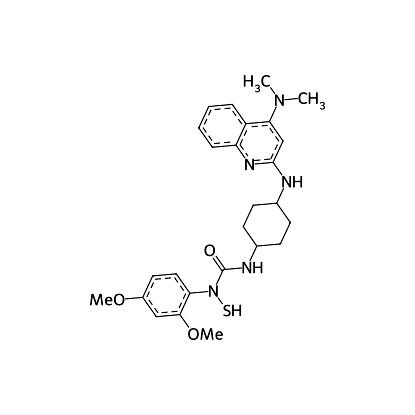 COc1ccc(N(S)C(=O)NC2CCC(Nc3cc(N(C)C)c4ccccc4n3)CC2)c(OC)c1